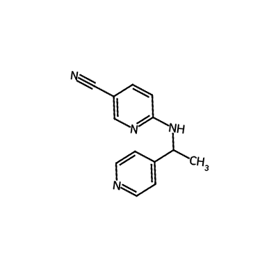 CC(Nc1ccc(C#N)cn1)c1ccncc1